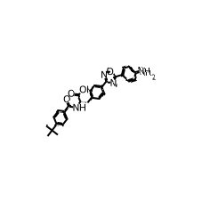 CC(C)(C)c1ccc(C(=O)N[C@@H](Cc2ccc(-c3noc(-c4ccc(N)cc4)n3)cc2)C(=O)O)cc1